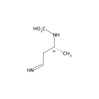 C[C@H](CC=N)NC(=O)O